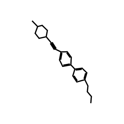 CCCCc1ccc(-c2ccc(C#CC3CCC(C)CC3)cc2)cc1